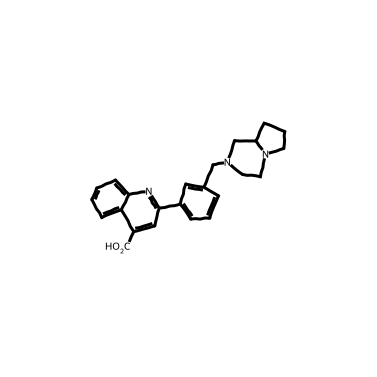 O=C(O)c1cc(-c2cccc(CN3CCN4CCCC4C3)c2)nc2ccccc12